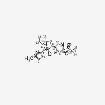 Cn1ccc(NC(=O)C(CC2CCCC2)c2ccc(S(=O)(=O)C3CC3)nc2)n1